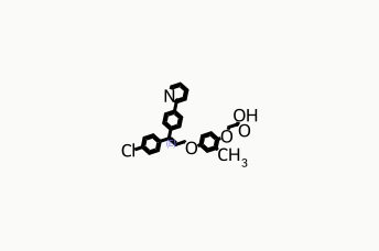 Cc1cc(OC/C=C(/c2ccc(Cl)cc2)c2ccc(-c3ccccn3)cc2)ccc1OCC(=O)O